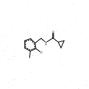 Cc1cccc(CNC(=O)C2CC2)c1Cl